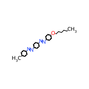 CCCCCCOc1ccc(N=Nc2ccc(N=Nc3ccc(C)cc3)cc2)cc1